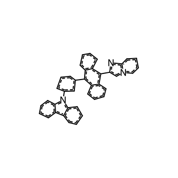 c1cc(-c2c3ccccc3c(-c3cn4ccccc4n3)c3ccccc23)cc(-n2c3ccccc3c3ccccc32)c1